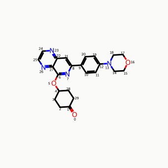 O=C1CCC(Oc2nc(-c3ccc(N4CCOCC4)cc3)cc3nccnc23)CC1